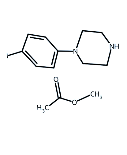 COC(C)=O.Ic1ccc(N2CCNCC2)cc1